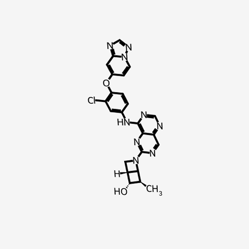 C[C@@H]1C2[C@@H](CN2c2ncc3ncnc(Nc4ccc(Oc5ccn6ncnc6c5)c(Cl)c4)c3n2)[C@H]1O